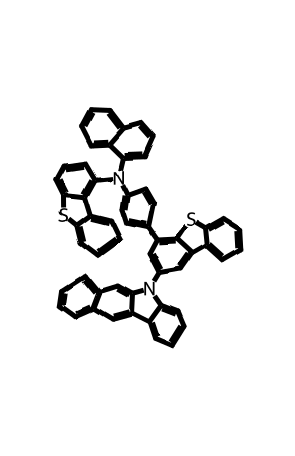 c1ccc2cc3c(cc2c1)c1ccccc1n3-c1cc(-c2ccc(N(c3cccc4ccccc34)c3cccc4sc5ccccc5c34)cc2)c2sc3ccccc3c2c1